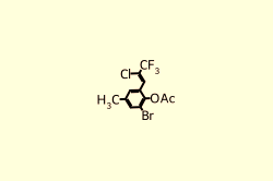 CC(=O)Oc1c(Br)cc(C)cc1C=C(Cl)C(F)(F)F